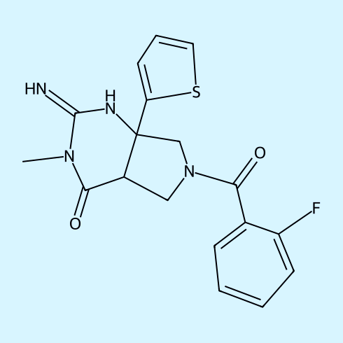 CN1C(=N)NC2(c3cccs3)CN(C(=O)c3ccccc3F)CC2C1=O